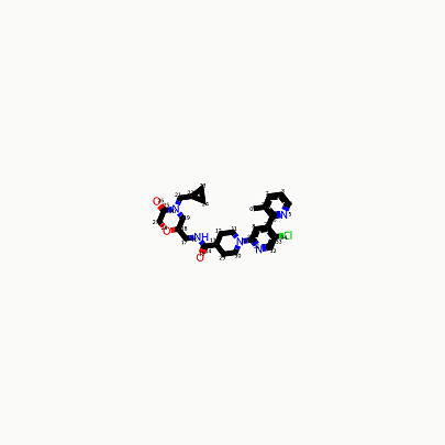 Cc1cccnc1-c1cc(N2CCC(C(=O)NCC3CN(CC4CC4)C(=O)CO3)CC2)ncc1Cl